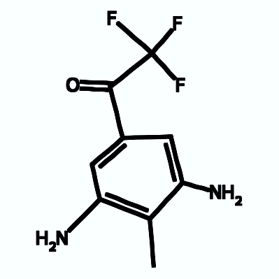 Cc1c(N)cc(C(=O)C(F)(F)F)cc1N